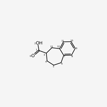 O=C(O)C1CCCc2ccccc2C1